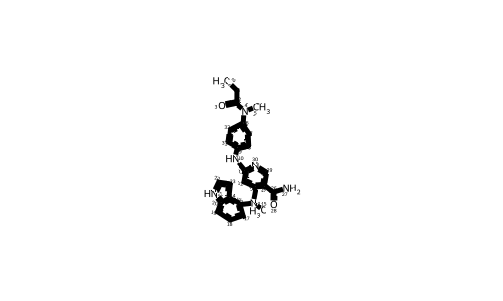 CCC(=O)N(C)c1ccc(Nc2cc(N(C)c3cccc4[nH]ccc34)c(C(N)=O)cn2)cc1